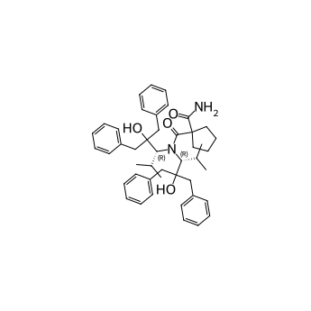 CC(C)[C@@H](N(C(=O)C1(C(N)=O)CCCC1)[C@H](C(C)C)C(O)(Cc1ccccc1)Cc1ccccc1)C(O)(Cc1ccccc1)Cc1ccccc1